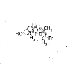 CC(C)C(C)CC(O)[C@@H](C)[C@H]1CC[C@H]2C3=CC=C4CC(O)CC[C@]4(C)[C@H]3CC[C@]12C